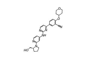 N#Cc1cc(-c2ccnc(Nc3ccnc(N4CCC[C@H]4CO)c3)n2)ccc1OC1CCOCC1